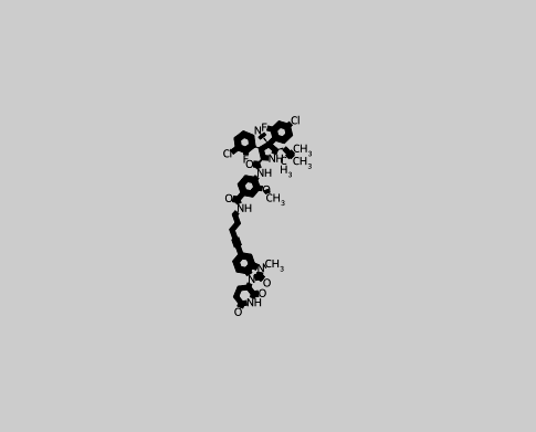 COc1cc(C(=O)NCCCC#Cc2ccc3c(c2)n(C)c(=O)n3C2CCC(=O)NC2=O)ccc1NC(=O)[C@@H]1N[C@@H](CC(C)(C)C)[C@](C#N)(c2ccc(Cl)cc2F)[C@H]1c1cccc(Cl)c1F